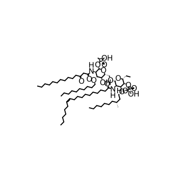 CCCCCC/C=C\CCCCCCCCCC(=O)N[C@H]1[C@H](OC[C@H]2O[C@H](OP(C)(=O)O)[C@H](NC(=O)CC(=O)CCCCCCCCCCC)[C@@H](OCCCCCCCCCC)[C@@H]2O)O[C@H](CC)[C@@H](OP(=O)(O)O)[C@@H]1OCC[C@H](C)CCCCCCC